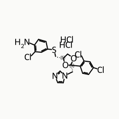 Cl.Cl.Nc1ccc(SC[C@@H]2CO[C@@](Cn3ccnc3)(c3ccc(Cl)cc3Cl)O2)cc1Cl